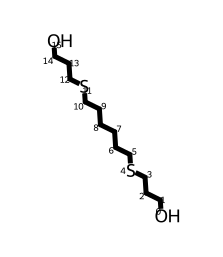 OCCCSCCCCCCSCCCO